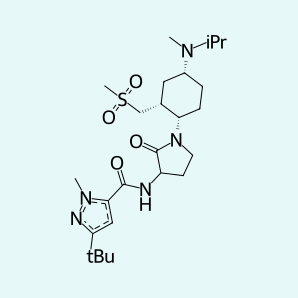 CC(C)N(C)[C@@H]1CC[C@H](N2CCC(NC(=O)c3cc(C(C)(C)C)nn3C)C2=O)[C@H](CS(C)(=O)=O)C1